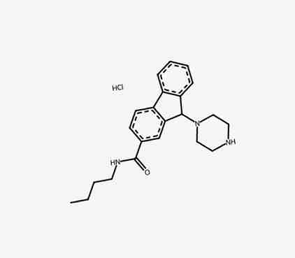 CCCCNC(=O)c1ccc2c(c1)C(N1CCNCC1)c1ccccc1-2.Cl